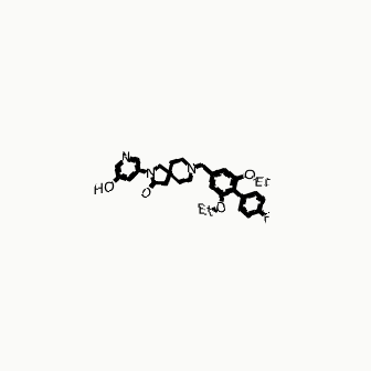 CCOc1cc(CN2CCC3(CC2)CC(=O)N(c2cncc(O)c2)C3)cc(OCC)c1-c1ccc(F)cc1